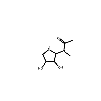 CC(=O)N(C)C1NCC(O)C1O